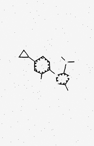 CN(C)c1nc(C(F)(F)F)nn1-c1ccc(C2CC2)cc1Cl